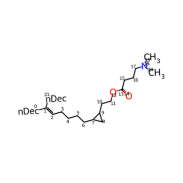 CCCCCCCCCCC(=CCCCCC1CC1CCOC(=O)CCCN(C)C)CCCCCCCCCC